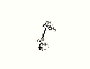 C/N=C1/N(C)CCN1CCCCCCNC(=O)C(N)Cc1c[nH]cn1